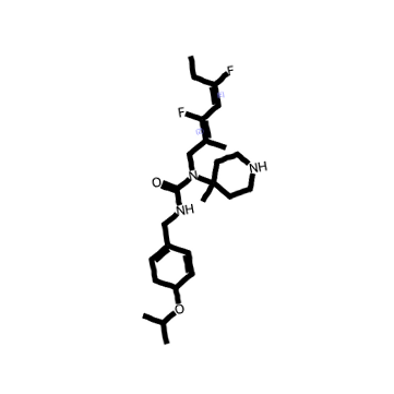 CC/C(F)=C\C(F)=C(/C)CN(C(=O)NCC1=CCC(OC(C)C)C=C1)C1(C)CCNCC1